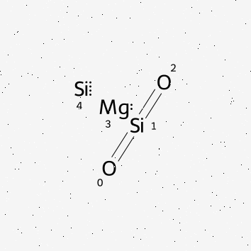 O=[Si]=O.[Mg].[Si]